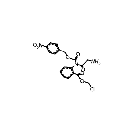 NCC(=O)N(C(=O)OCc1ccc([N+](=O)[O-])cc1)c1ccccc1C(=O)OCCl